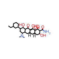 CCC1CCCC(C2CC(N(C)C)C3C[C@H]4C[C@H]5CC(O)C(C(N)=O)C(=O)[C@@]5(O)C(O)=C4C(=O)C3C2O)C1